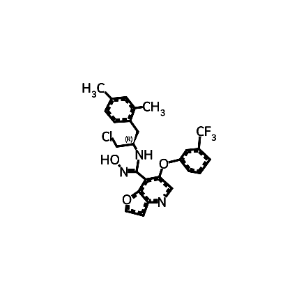 Cc1ccc(C[C@H](CCl)NC(=NO)c2c(Oc3cccc(C(F)(F)F)c3)cnc3ccoc23)c(C)c1